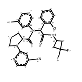 N#Cc1ccnc(N2COC[C@H]2C(=O)N(c2cncc(F)c2)[C@H](C(=O)NC2CC(F)(F)C2)c2ccccc2Cl)c1